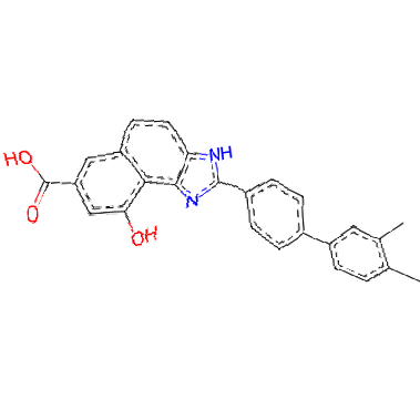 Cc1ccc(-c2ccc(-c3nc4c(ccc5cc(C(=O)O)cc(O)c54)[nH]3)cc2)cc1C